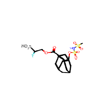 CS(=O)(=O)NS(=O)(=O)OC12CC3CC(C1)CC(C(=O)OCC(F)S(=O)(=O)O)(C3)C2